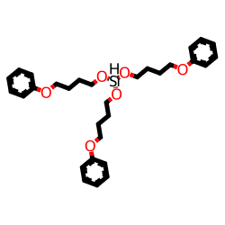 c1ccc(OCCCCO[SiH](OCCCCOc2ccccc2)OCCCCOc2ccccc2)cc1